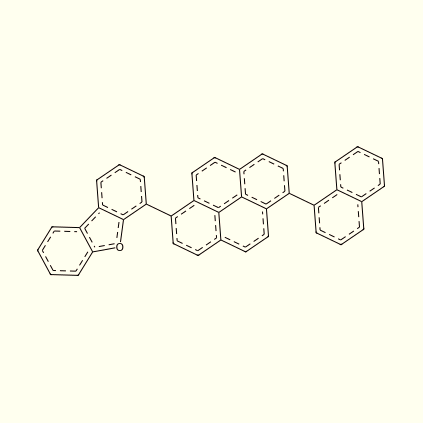 c1ccc2c(-c3ccc4ccc5c(-c6cccc7c6oc6ccccc67)ccc6ccc3c4c65)cccc2c1